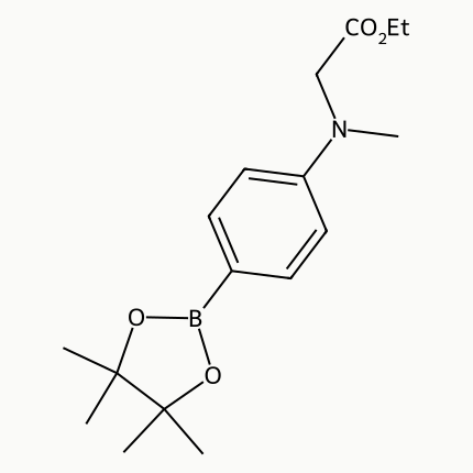 CCOC(=O)CN(C)c1ccc(B2OC(C)(C)C(C)(C)O2)cc1